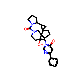 O=C(N1CCC(O)(Cn2cnc(-c3ccccc3)cc2=O)C2(CCCC2)C1)N1CCCC1C1CC1